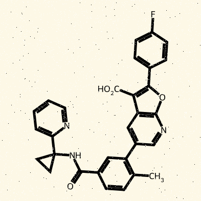 Cc1ccc(C(=O)NC2(c3ccccn3)CC2)cc1-c1cnc2oc(-c3ccc(F)cc3)c(C(=O)O)c2c1